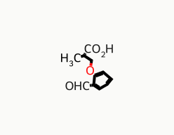 CC(COc1ccccc1C=O)C(=O)O